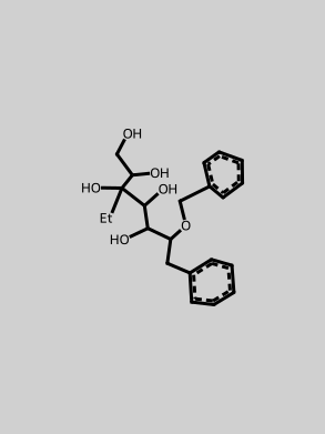 CCC(O)(C(O)CO)C(O)C(O)C(Cc1ccccc1)OCc1ccccc1